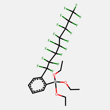 CCO[Si](OCC)(OCC)c1ccccc1C(F)(F)C(F)(F)C(F)(F)C(F)(F)C(F)(F)C(F)(F)C(F)(F)C(F)(F)F